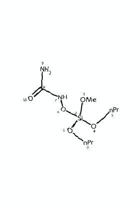 CCCO[Si](OC)(OCCC)ONC(N)=O